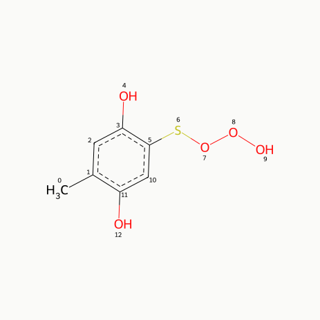 Cc1cc(O)c(SOOO)cc1O